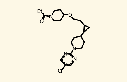 CCC(=O)N1CCC(OCCC2CC2C2CCN(c3ncc(Cl)cn3)CC2)CC1